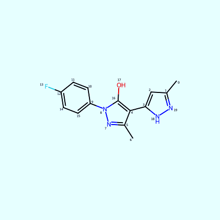 Cc1cc(-c2c(C)nn(-c3ccc(F)cc3)c2O)[nH]n1